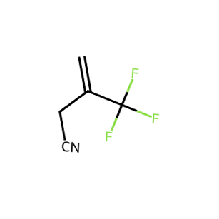 C=C(CC#N)C(F)(F)F